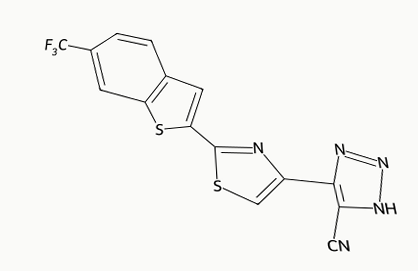 N#Cc1[nH]nnc1-c1csc(-c2cc3ccc(C(F)(F)F)cc3s2)n1